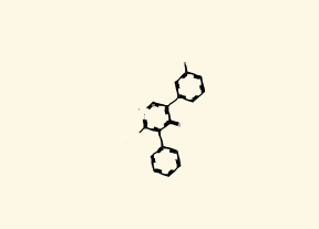 Cc1[nH]cc(-c2cccc(C(F)(F)F)c2)c(=O)c1-c1ccccc1